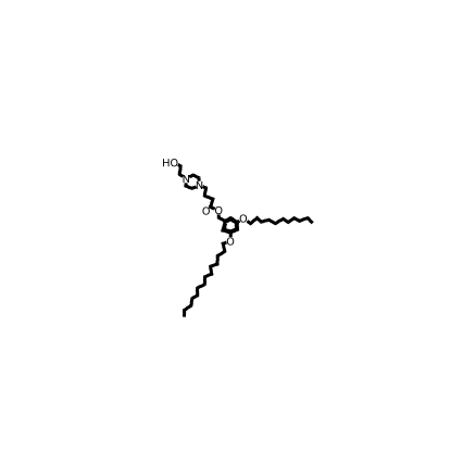 CCCCCCCCCCCCCCOc1cc(COC(=O)CCCN2CCN(CCO)CC2)cc(OCCCCCCCCCCC)c1